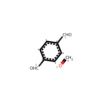 C=O.O=Cc1ccc(C=O)cc1